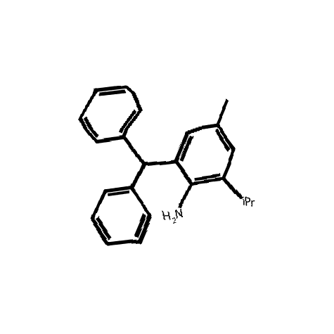 Cc1cc(C(C)C)c(N)c(C(c2ccccc2)c2ccccc2)c1